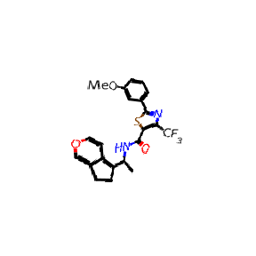 COc1cccc(-c2nc(C(F)(F)F)c(C(=O)NC(C)C3=C4C=COC=C4CC3)s2)c1